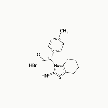 Br.Cc1ccc([C@@H](C=O)n2c3c(sc2=N)CCCC3)cc1